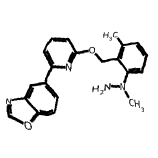 Cc1cccc(N(C)N)c1COc1cccc(-c2ccc3ocnc3c2)n1